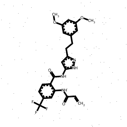 C=CC(=O)Nc1cc(C(F)(F)F)ccc1C(=O)Nc1cc(CCc2cc(OC)cc(OC)c2)n[nH]1